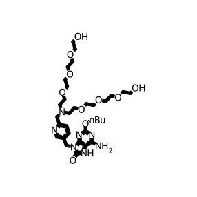 CCCCOc1nc(N)c2[nH]c(=O)n(Cc3ccc(CN(CCOCCOCCOCCO)CCOCCOCCOCCO)nc3)c2n1